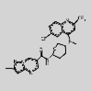 Cc1cc2ncc(C(=O)N[C@H]3CC[C@@H](N(C)c4cc(C(F)(F)F)nc5ccc(Cl)cc45)CC3)cn2n1